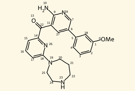 COc1cccc(-c2cnc(N)c(C(=O)c3cccc(N4CCCNCC4)n3)c2)c1